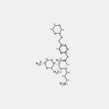 C=C(Cc1ccc(CCC2CCCCC2)cc1)C[C@H](CCCN)[C@H](C)C[C@H]1CC[C@@H](C)CC1